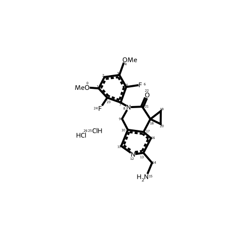 COc1cc(OC)c(F)c(N2Cc3cnc(CN)cc3C3(CC3)C2=O)c1F.Cl.Cl